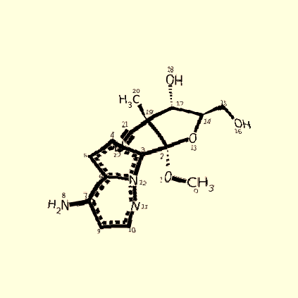 CO[C@@]1(c2ccc3c(N)ccnn23)O[C@H](CO)[C@@H](O)[C@@]1(C)C#N